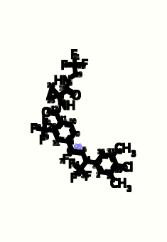 Cc1cc(C(/C=C(\F)c2ccc(C(=O)NC3(C(=O)NCC(F)(F)F)CC3)c(C(F)(F)F)c2)C(F)(F)F)cc(C)c1Cl